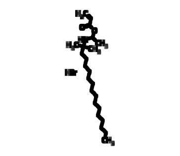 Br.C=CC(=O)OC(C)NC(C)(C)CCCCCCCCCCCCCCC